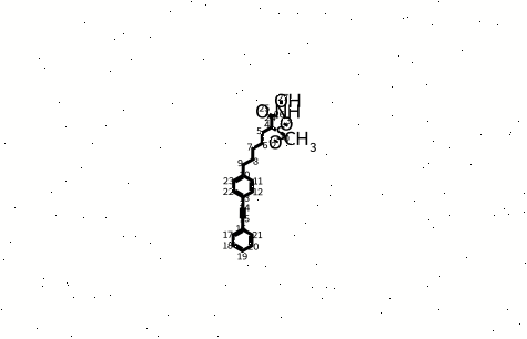 CS(=O)(=O)C(CCCCCc1ccc(C#Cc2ccccc2)cc1)C(=O)NO